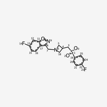 O=S(=O)(CC1CN(Cc2noc3cc(F)ccc23)C1)c1ccc(F)cc1